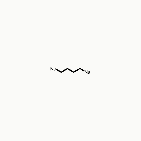 [Na][CH2]CC[CH2][Na]